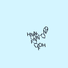 Oc1c(F)ccc(F)c1CN1CCCNc2ncc(-c3cccc(N4CCOCC4)c3)nc21